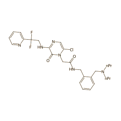 CCCN(CCC)Cc1ccccc1CNC(=O)Cn1c(Cl)cnc(NCC(F)(F)c2ccccn2)c1=O